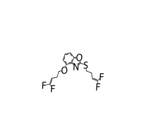 FC(F)=CCCOc1cccc2oc(SCCC=C(F)F)nc12